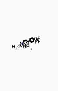 CN/N=c1/ccc(-c2ccc(OC(F)(F)F)cc2)nn1C